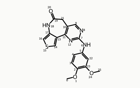 COc1ccc(Nc2ncc3c(n2)-c2cscc2NC(=O)C3)cc1OC